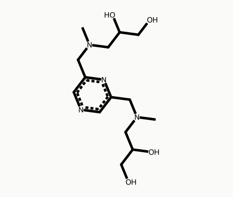 CN(Cc1cncc(CN(C)CC(O)CO)n1)CC(O)CO